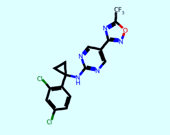 FC(F)(F)c1nc(-c2cnc(NC3(c4ccc(Cl)cc4Cl)CC3)nc2)no1